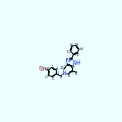 CC1=CN(Cc2ccc(Br)cc2)Cc2nc(-c3ccccc3)[nH]c21